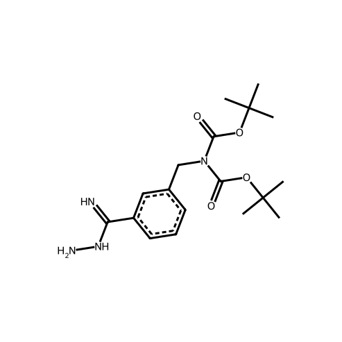 CC(C)(C)OC(=O)N(Cc1cccc(C(=N)NN)c1)C(=O)OC(C)(C)C